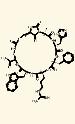 C[C@@H]1C(=O)N[C@@H](Cc2cnc[nH]2)C(=O)N[C@H](Cc2ccccc2)C(=O)N[C@@H](CCCNC(=N)N)C(=O)N[C@@H](Cc2c[nH]c3ccccc23)C(=O)NC(C(N)=O)CNC(=O)CC[C@@H]2NC(=O)N1C2=O